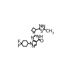 Cc1nnc(C2CC[C@H]2c2nc3c(cnn3C3CCC(F)(F)CC3)c(=O)[nH]2)s1